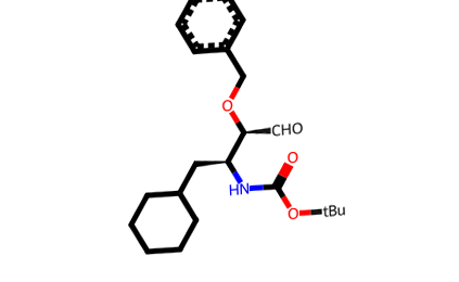 CC(C)(C)OC(=O)N[C@@H](CC1CCCCC1)[C@H](C=O)OCc1ccccc1